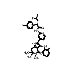 CN1C(=O)c2c([nH]c(-c3ccnc(NC(=O)[C@@H](CC(F)F)c4ccc(F)cc4)c3)c2Nc2ccccc2F)CC1(C)C